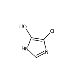 Oc1[nH]cnc1Cl